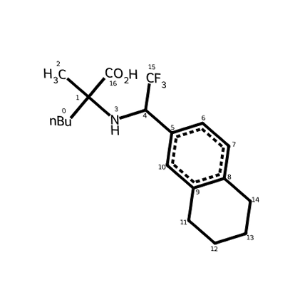 CCCCC(C)(NC(c1ccc2c(c1)CCCC2)C(F)(F)F)C(=O)O